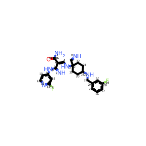 N=CC1(N/C=C(\C(=N)Nc2ccnc(F)c2)C(N)=O)CCC(NCc2cccc(F)c2)CC1